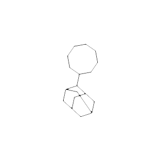 C1CCCC(C2[C]3CC4CC(C3)CC2C4)CCC1